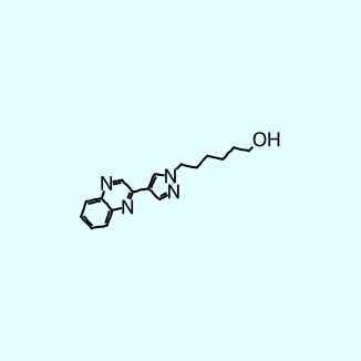 OCCCCCCn1cc(-c2cnc3ccccc3n2)cn1